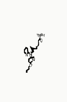 CCCCOc1ccc(N(CCCCCCC(=O)NO)c2ccccn2)cn1